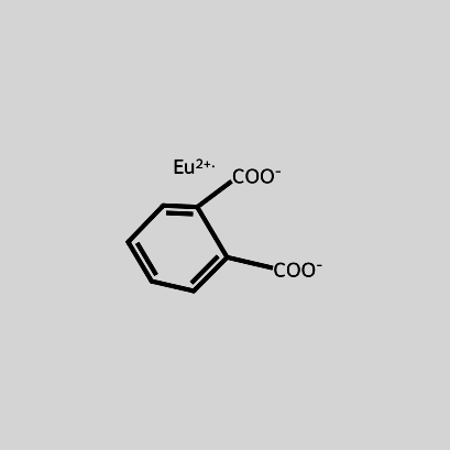 O=C([O-])c1ccccc1C(=O)[O-].[Eu+2]